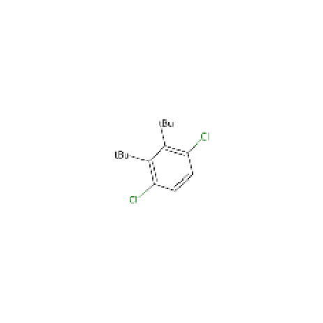 CC(C)(C)c1c(Cl)ccc(Cl)c1C(C)(C)C